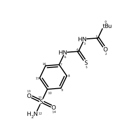 CC(C)(C)C(=O)NC(=S)Nc1ccc(S(N)(=O)=O)cc1